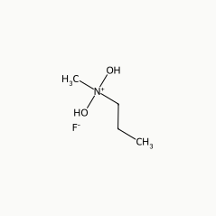 CCC[N+](C)(O)O.[F-]